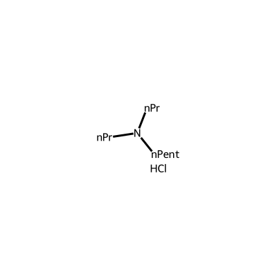 CCCCCN(CCC)CCC.Cl